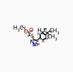 CCOC(=O)CSc1nnsc1-c1ccc(C(C)(C)C)cc1